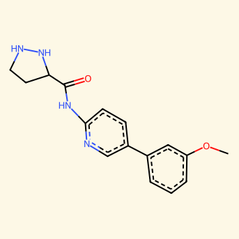 COc1cccc(-c2ccc(NC(=O)C3CCNN3)nc2)c1